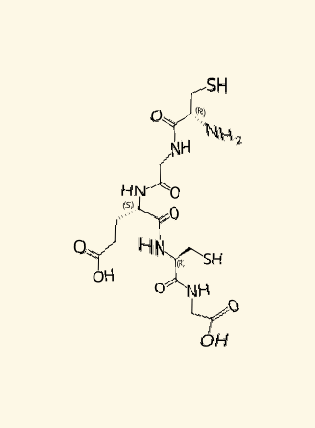 N[C@@H](CS)C(=O)NCC(=O)N[C@@H](CCC(=O)O)C(=O)N[C@@H](CS)C(=O)NCC(=O)O